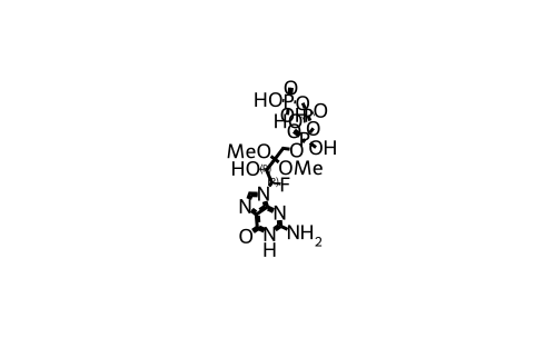 COC(COP(=O)(O)OP(=O)(O)OP(=O)(O)O)(OC)[C@@H](O)[C@@H](F)n1cnc2c(=O)[nH]c(N)nc21